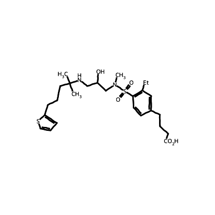 CCc1cc(CCCC(=O)O)ccc1S(=O)(=O)N(C)CC(O)CNC(C)(C)CCCc1cccs1